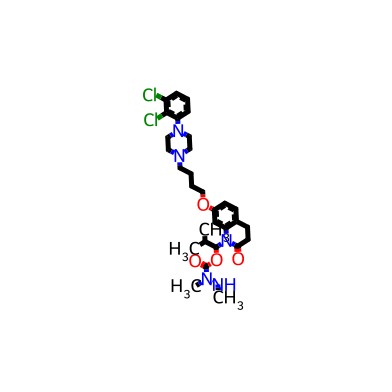 CNN(C)C(=O)OC(C(C)C)N1C(=O)CCc2ccc(OCCCCN3CCN(c4cccc(Cl)c4Cl)CC3)cc21